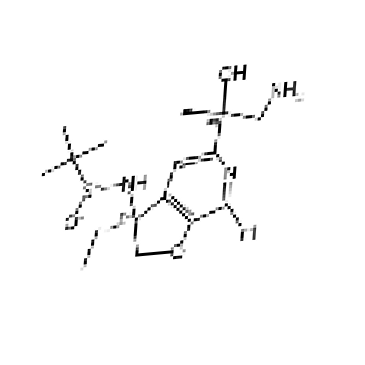 CC[C@@]1(N[S+]([O-])C(C)(C)C)COc2c1cc([C@](C)(O)CN)nc2Cl